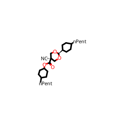 CCCCCC1CCC(OC(=O)[C@]2(C#N)CO[C@H](C3CCC(CCCCC)CC3)OC2)CC1